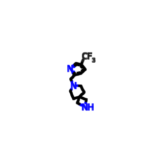 FC(F)(F)c1ccc(CN2CCC3(CC2)CNC3)nc1